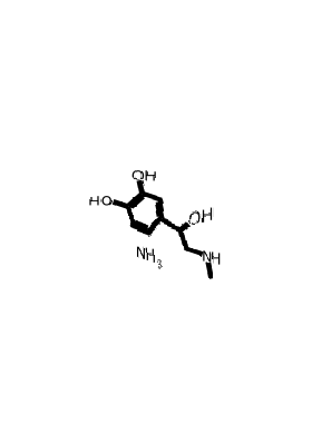 CNCC(O)c1ccc(O)c(O)c1.N